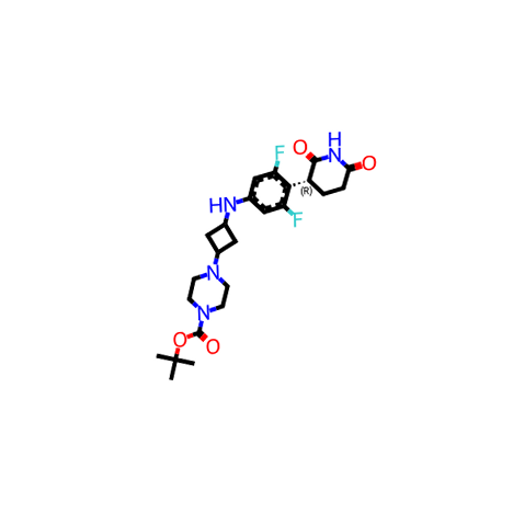 CC(C)(C)OC(=O)N1CCN(C2CC(Nc3cc(F)c([C@H]4CCC(=O)NC4=O)c(F)c3)C2)CC1